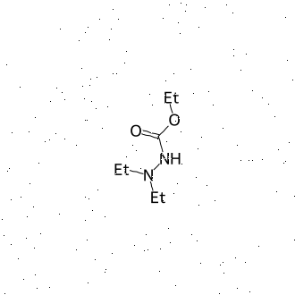 [CH2]COC(=O)NN(CC)CC